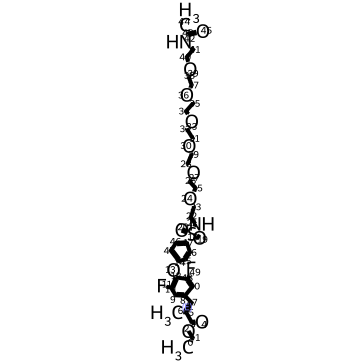 CCOC(=O)/C(C)=C/c1cc(F)c(Oc2ccc(S(=O)(=O)NCCOCCOCCOCCOCCOCCOCCNC(C)=O)cc2)c(F)c1